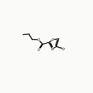 CCCOC(=O)c1nc([O])co1